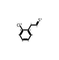 S=[C]Cc1ccccc1Cl